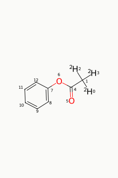 [2H]C([2H])([2H])C(=O)Oc1ccccc1